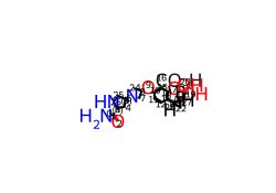 NC(=O)[C@H]1C[C@@H](N2CC(Oc3ccc4c(c3C(=O)O)O[B-](O)(O)[C@H]3C[C@@H]43)C2)CN1